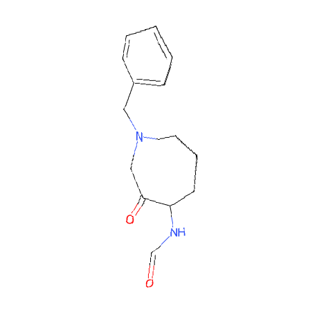 O=CNC1CCCN(Cc2ccccc2)CC1=O